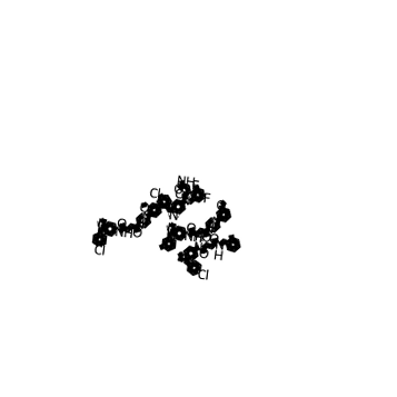 CN(C)C1(Cc2ccc(Cl)cc2)CCC(N(Cc2cc(F)cc(F)c2)C(=O)CCC(N)=O)CC1.COc1cccc(N2CCN(C(=O)CCC(=O)NC3CCC(Cc4cccc(C)c4)(N(C)C)CC3)CC2)c1.COc1ccccc1N1CCN(C(=O)CCC(=O)NC2CCC(Cc3ccc(Cl)cc3)(N(C)C)CC2)CC1.Cc1ccccc1CNC(=O)CCC(=O)NC1CCC(Cc2ccc(Cl)cc2)(N(C)C)CC1